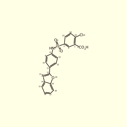 O=C(O)c1cc(S(=O)(=O)Nc2ccc(-c3nc4ccccc4o3)cc2)ccc1Cl